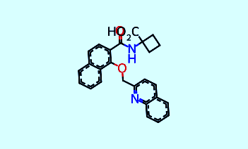 O=C(NC1(C(=O)O)CCC1)c1ccc2ccccc2c1OCc1ccc2ccccc2n1